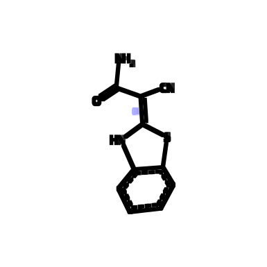 N#C/C(C(N)=O)=C1/Nc2ccccc2S1